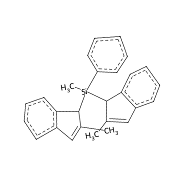 CC1=Cc2ccccc2C1[Si](C)(c1ccccc1)C1C(C)=Cc2ccccc21